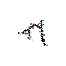 C#CCOc1ccc(CCC(=O)NCCNC(=O)CCN(CCNC(=O)CCN(C)CCC(=O)NCCN(CCC(=O)NCCN)CCC(=O)NCCNC(C)=O)CCC(=O)NCCN)cc1